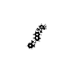 O=C1CCN(S(=O)(=O)c2ccc3cc(OCc4ccccc4F)ccc3c2)N1